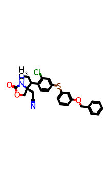 CCC(c1ccc(Sc2cccc(OCc3ccccc3)c2)cc1Cl)C1(CC#N)COC(=O)N1